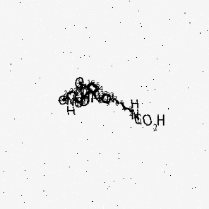 O=C(O)NCCCCCCN1CCC(Nc2cccc3c2C(=O)N(C2CCC(=O)NC2=O)C3=O)CC1